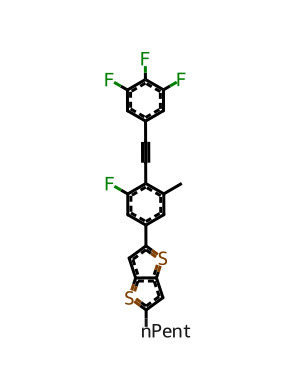 CCCCCc1cc2sc(-c3cc(C)c(C#Cc4cc(F)c(F)c(F)c4)c(F)c3)cc2s1